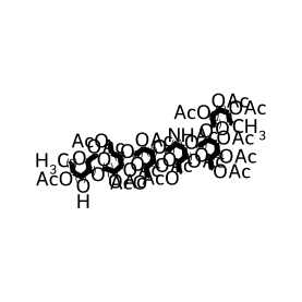 CC(=O)N[C@H]1C(O[C@@H]2OC(COC(C)=O)[C@H](OC(C)=O)C(OC(C)=O)C2O[C@@H]2OC(C)C(OC(C)=O)[C@H](OC(C)=O)[C@@H]2OC(C)=O)[C@@H](OC(C)=O)C(COC(C)=O)O[C@H]1O[C@@H]1C(OC(C)=O)[C@@H](O[C@H]2C(COC(C)=O)O[C@@H](O[C@@H]3C(COC(C)=O)O[C@@H](C)C(OC(C)=O)[C@H]3O)[C@@H](OC(C)=O)C2OC(C)=O)OC(COC(C)=O)[C@@H]1OC(C)=O